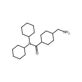 NCC1CCC(C(=O)N(C2CCCCC2)C2CCCCC2)CC1